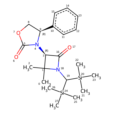 CC1(C)[C@@H](N2C(=O)OC[C@H]2c2ccccc2)C(=O)N1C([Si](C)(C)C)[Si](C)(C)C